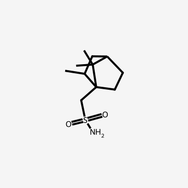 CC1CC2CCC1(CS(N)(=O)=O)C2(C)C